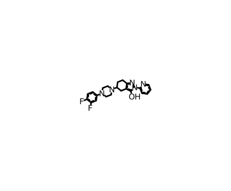 Oc1c2c(nn1-c1ccccn1)CCC(N1CCN(c3ccc(F)c(F)c3)CC1)C2